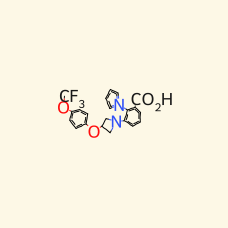 O=C(O)c1cccc(N2CC(Oc3ccc(OC(F)(F)F)cc3)C2)c1-n1cccc1